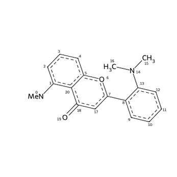 CNc1cccc2oc(-c3ccccc3N(C)C)cc(=O)c12